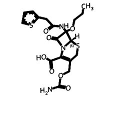 CCCOC1(NC(=O)Cc2cccs2)C(=O)N2C(C(=O)O)=C(COC(N)=O)CS[C@H]21